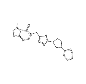 Cn1cnc2ncn(Cc3nc(C4CCC(c5ccccc5)C4)no3)c(=O)c21